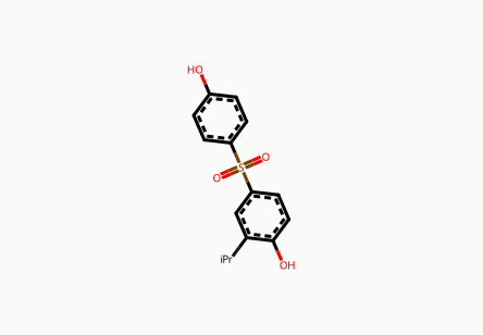 CC(C)c1cc(S(=O)(=O)c2ccc(O)cc2)ccc1O